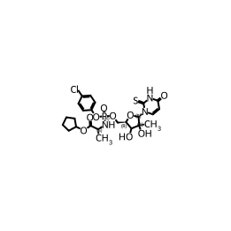 C[C@H](N[P@@](=O)(OC[C@H]1O[C@@H](n2ccc(=O)[nH]c2=S)[C@](C)(O)C1O)Oc1ccc(Cl)cc1)C(=O)OC1CCCC1